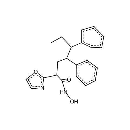 CCC(c1ccccc1)C(CC(C(=O)NO)c1ncco1)c1ccccc1